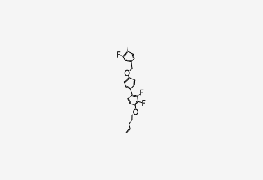 C=CCCCOc1ccc(-c2ccc(OCc3ccc(C)c(F)c3)cc2)c(F)c1F